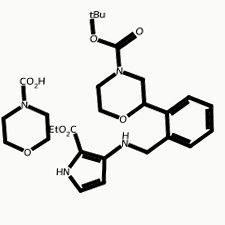 CCOC(=O)c1[nH]ccc1NCc1ccccc1C1CN(C(=O)OC(C)(C)C)CCO1.O=C(O)N1CCOCC1